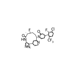 C[C@H]1C(=O)Nc2cnn(C)c2-c2ccnc(c2)[C@@H](n2ccc(-c3c(C(F)(F)F)ccc(Cl)c3F)cc2=O)CCC1F